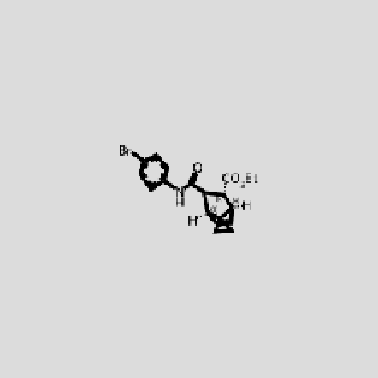 CCOC(=O)[C@H]1C(C(=O)Nc2ccc(Br)cc2)[C@@H]2C=C[C@H]1C21CC1